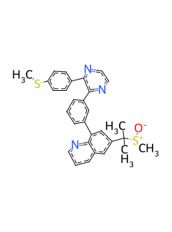 CSc1ccc(-c2nccnc2-c2cccc(-c3cc(C(C)(C)[S+](C)[O-])cc4cccnc34)c2)cc1